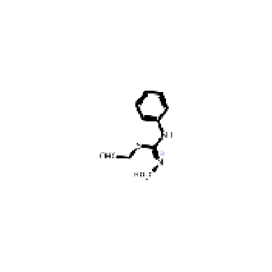 O=CCS/C(=N\C(=O)O)Nc1ccccc1